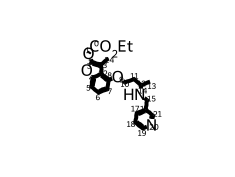 CCOC(=O)Oc1oc2cccc(OCCC(C)NCc3cccnc3)c2c1C